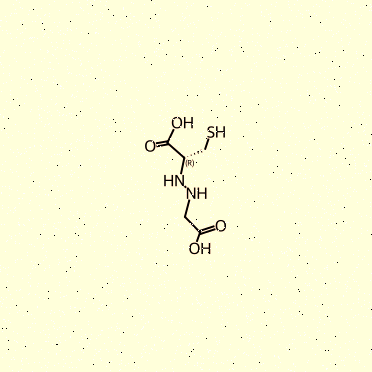 O=C(O)CNN[C@@H](CS)C(=O)O